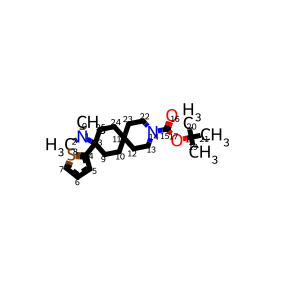 CN(C)C1(c2cccs2)CCC2(CCN(C(=O)OC(C)(C)C)CC2)CC1